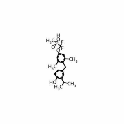 Cc1cc(OC(F)(F)P(C)(=O)O)cc(C)c1Cc1ccc(O)c(C(C)C)c1